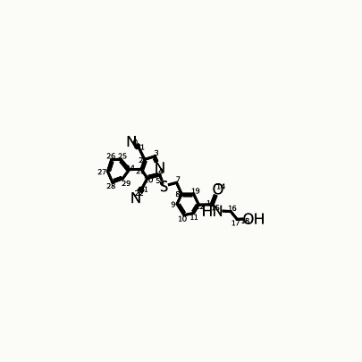 N#Cc1cnc(SCc2cccc(C(=O)NCCO)c2)c(C#N)c1-c1ccccc1